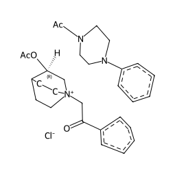 CC(=O)N1CCN(c2ccccc2)CC1.CC(=O)O[C@H]1C[N+]2(CC(=O)c3ccccc3)CCC1CC2.[Cl-]